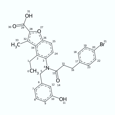 CCc1c(N(Cc2cccc(O)c2)C(=O)CCc2ccc(Br)cc2)ccc2oc(C(=O)O)c(C)c12